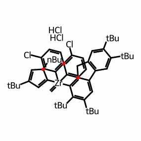 Cl.Cl.[CH2]=[Zr]([C]1=CC(C(C)(C)C)=CC1CCCC)([c]1cccc(Cl)c1)([c]1cccc(Cl)c1)[c]1c2c(cc(C(C)(C)C)c1C(C)(C)C)-c1cc(C(C)(C)C)c(C(C)(C)C)cc1C2